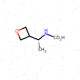 C[C@@H](NC(=O)O)C1COC1